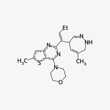 CC/C=C(/c1nc(N2CCOCC2)c2sc(C)cc2n1)C1C=NNCC(C)=C1